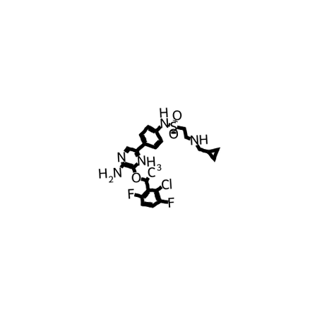 CC(Oc1nc(-c2ccc(NS(=O)(=O)CCNCC3CC3)cc2)cnc1N)c1c(F)ccc(F)c1Cl